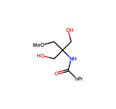 CCCC(=O)NC(CO)(CO)COC